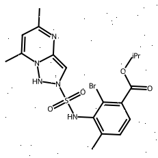 CC1=CC(C)=NC2=CN(S(=O)(=O)Nc3c(C)ccc(C(=O)OC(C)C)c3Br)NN12